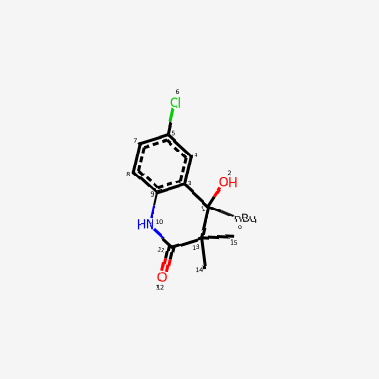 CCCCC1(O)c2cc(Cl)ccc2NC(=O)C1(C)C